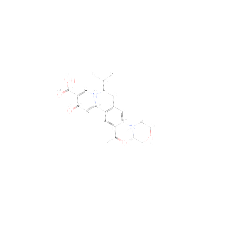 CC(=O)c1cc2c(cc1N1CCOCC1)CC(C(C)C)n1cc(C(=O)O)c(=O)cc1-2